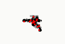 COc1ccc(C(OC[C@H]2O[C@@H](n3cnc4c(NC(=O)c5ccccc5)ncnc43)C[C@@H]2OP(=S)(O[C@H]2C[C@H](n3ccc(NC(=O)c4ccccc4)nc3=O)O[C@@H]2COP(O)(=S)S)SCc2ccc(Cl)cc2)(c2ccccc2)c2ccc(OC)cc2)cc1